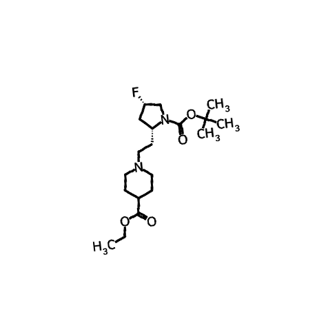 CCOC(=O)C1CCN(CC[C@@H]2C[C@H](F)CN2C(=O)OC(C)(C)C)CC1